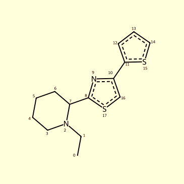 CCN1CCCCC1c1nc(-c2cccs2)cs1